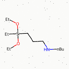 CCCCNCCC[Si](CC)(OCC)OCC